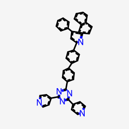 c1ccc(-c2cc(-c3ccc(-c4ccc(-c5nc(-c6ccncc6)nc(-c6ccncc6)n5)cc4)cc3)nc3ccc4ccccc4c23)cc1